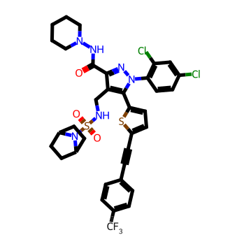 O=C(NN1CCCCC1)c1nn(-c2ccc(Cl)cc2Cl)c(-c2ccc(C#Cc3ccc(C(F)(F)F)cc3)s2)c1CNS(=O)(=O)N1C2CCC1CC2